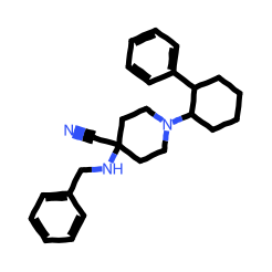 N#CC1(NCc2ccccc2)CCN(C2CCCCC2c2ccccc2)CC1